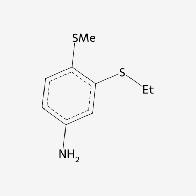 CCSc1cc(N)ccc1SC